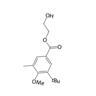 COc1c(C)cc(C(=O)OCCO)cc1C(C)(C)C